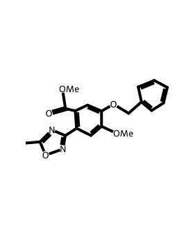 COC(=O)c1cc(OCc2ccccc2)c(OC)cc1-c1noc(C)n1